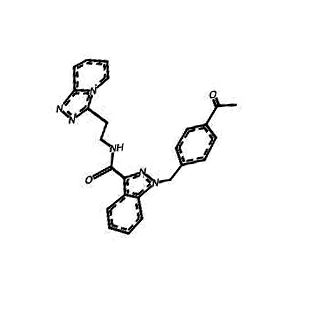 CC(=O)c1ccc(Cn2nc(C(=O)NCCc3nnc4ccccn34)c3ccccc32)cc1